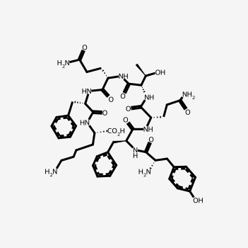 C[C@@H](O)[C@H](NC(=O)[C@H](CCC(N)=O)NC(=O)[C@H](Cc1ccccc1)NC(=O)[C@@H](N)Cc1ccc(O)cc1)C(=O)N[C@@H](CCC(N)=O)C(=O)N[C@@H](Cc1ccccc1)C(=O)N[C@@H](CCCCN)C(=O)O